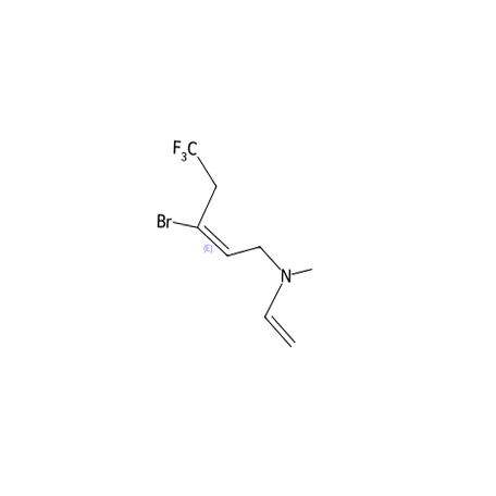 C=CN(C)C/C=C(/Br)CC(F)(F)F